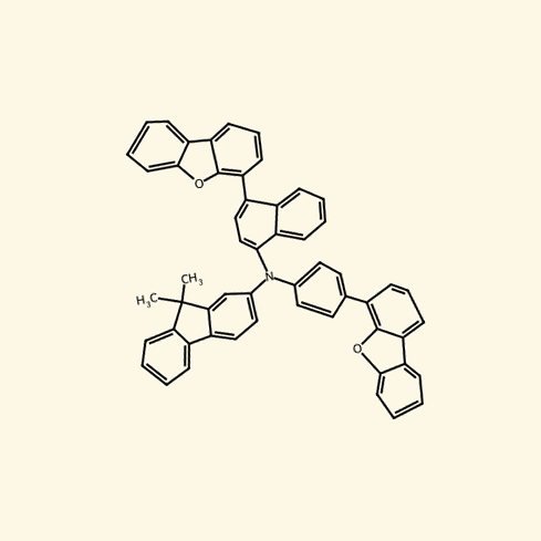 CC1(C)c2ccccc2-c2ccc(N(c3ccc(-c4cccc5c4oc4ccccc45)cc3)c3ccc(-c4cccc5c4oc4ccccc45)c4ccccc34)cc21